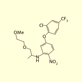 COCCOCC(C)Nc1cc(Oc2ccc(C(F)(F)F)cc2Cl)ccc1[N+](=O)[O-]